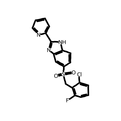 O=S(=O)(Cc1c(F)cccc1Cl)c1ccc2[nH]c(-c3ccccn3)nc2c1